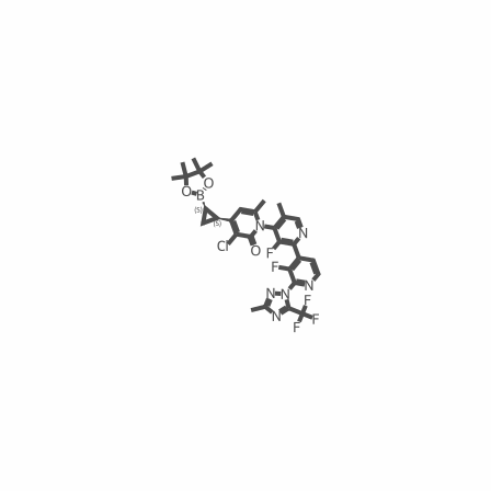 Cc1nc(C(F)(F)F)n(-c2nccc(-c3ncc(C)c(-n4c(C)cc([C@H]5C[C@@H]5B5OC(C)(C)C(C)(C)O5)c(Cl)c4=O)c3F)c2F)n1